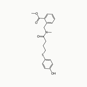 COC(=O)c1ccccc1CN(C)C(=O)CCCSc1ccc(O)cc1